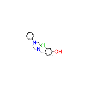 Oc1[c]cc(CN2CCN(c3ccccc3)CC2)c(Cl)c1